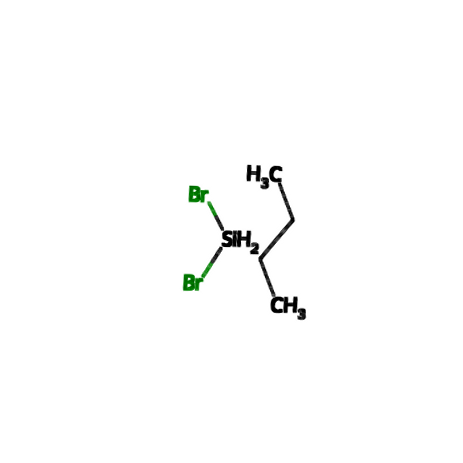 Br[SiH2]Br.CCCC